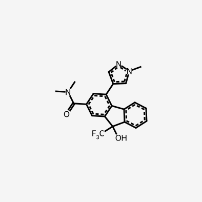 CN(C)C(=O)c1cc(-c2cnn(C)c2)c2c(c1)C(O)(C(F)(F)F)c1ccccc1-2